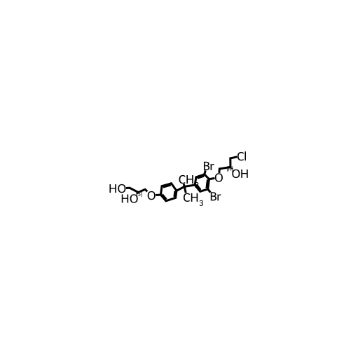 CC(C)(c1ccc(OC[C@@H](O)CO)cc1)c1cc(Br)c(OC[C@@H](O)CCl)c(Br)c1